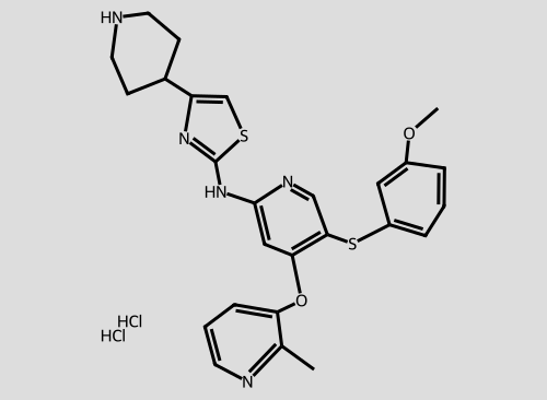 COc1cccc(Sc2cnc(Nc3nc(C4CCNCC4)cs3)cc2Oc2cccnc2C)c1.Cl.Cl